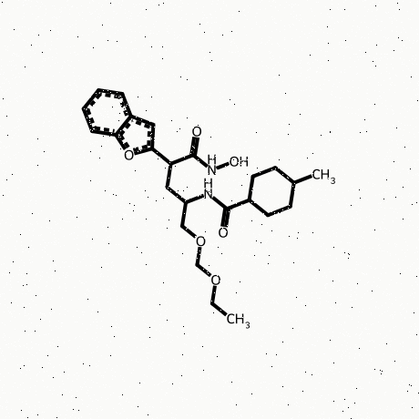 CCOCOCC(CC(C(=O)NO)c1cc2ccccc2o1)NC(=O)C1CCC(C)CC1